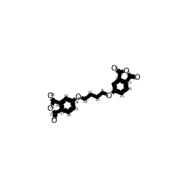 O=C1OC(=O)c2cc(OCCCCOc3ccc4c(c3)C(=O)OC4=O)ccc21